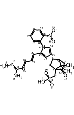 CC1(C)C2CCC1(CS(=O)(=O)O)C(=O)C2.NN=C(N)N=CC=Cc1cccn1-c1ccccc1[N+](=O)[O-]